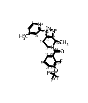 Cc1ccnc(-n2nnc3c2CCN(C(=O)c2cccc(OC(F)(F)F)c2F)C3C)c1